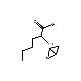 C1C2NC12.CCCCC(O)C(N)=O